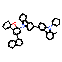 Cc1cccc2c3cc(-c4ccc5c(c4)c4ccccc4n5-c4cc(-c5cccc6ccccc56)cc5c4OC4CC=CC=C54)ccc3n(C3=CCCC=C3)c12